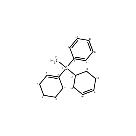 CS(C1=CCCCC1)(c1ccccc1)C1CC=CCC1